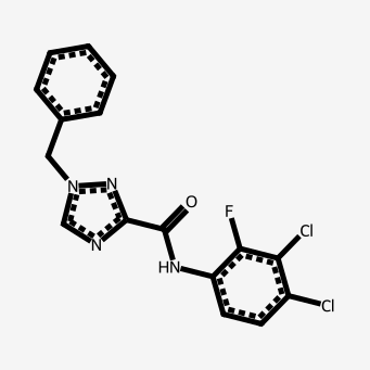 O=C(Nc1ccc(Cl)c(Cl)c1F)c1ncn(Cc2ccccc2)n1